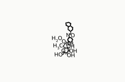 CC(C(=O)Nc1ccc2oc(-c3ccc4ccccc4c3)nc2c1)[C@@H]1O[C@H](CO)[C@H](O)[C@H](O)[C@H]1O.O